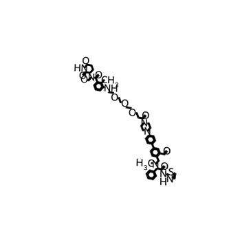 Cc1c(NCCOCCOCCOCCC(=O)N2CCN(c3ccc(-c4ccc(CN(C)C(C(=O)Nc5nccs5)c5ccccc5)c(C=O)c4)cc3)CC2)cccc1C(=O)N(C=O)C1CCC(=O)NC1=O